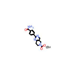 CC(C)(C)OC(=O)N1CCc2nc(-c3ccc(C(N)=O)cc3)ncc2C1